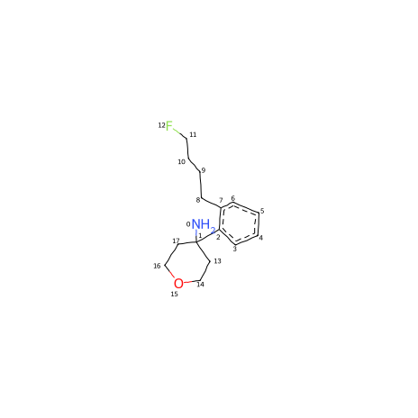 NC1(c2ccccc2CCCCF)CCOCC1